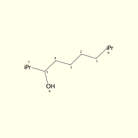 CC(C)CCCCC(O)C(C)C